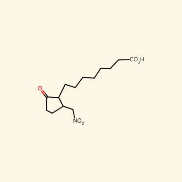 O=C(O)CCCCCCCC1C(=O)CCC1C[N+](=O)[O-]